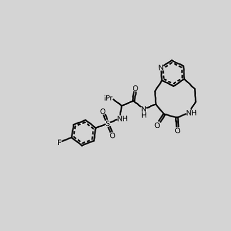 CC(C)C(NS(=O)(=O)c1ccc(F)cc1)C(=O)NC1Cc2cc(ccn2)CCNC(=O)C1=O